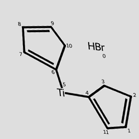 Br.C1=CC[C]([Ti][C]2=CC=CC2)=C1